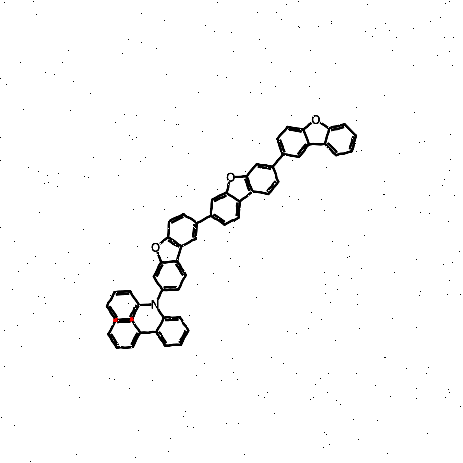 c1ccc(-c2ccccc2N(c2ccccc2)c2ccc3c(c2)oc2ccc(-c4ccc5c(c4)oc4cc(-c6ccc7oc8ccccc8c7c6)ccc45)cc23)cc1